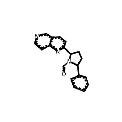 O=CN1C(c2ccccc2)CCC1c1ccc2cnccc2n1